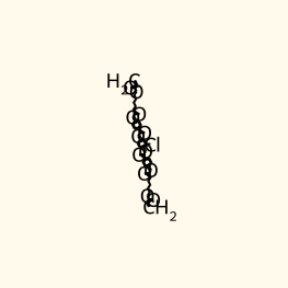 C=CC(=O)OCCCCCC(=O)Oc1ccc(C(=O)Oc2ccc(OC(=O)c3ccc(OC(=O)CCCCCOC(=O)C=C)cc3)c(Cl)c2)cc1